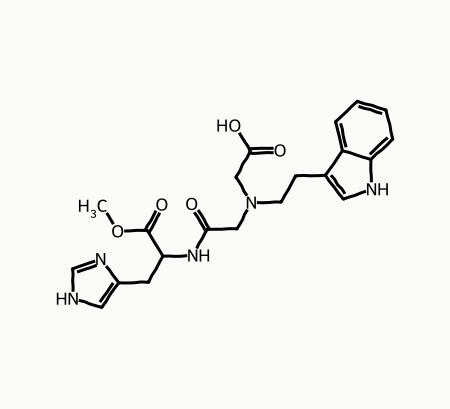 COC(=O)C(Cc1c[nH]cn1)NC(=O)CN(CCc1c[nH]c2ccccc12)CC(=O)O